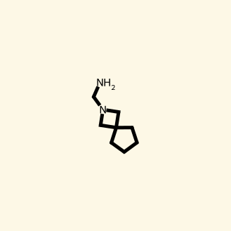 NCN1CC2(CCCC2)C1